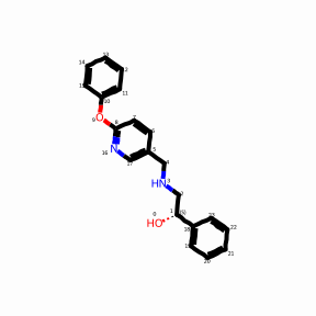 O[C@H](CNCc1ccc(Oc2ccccc2)nc1)c1ccccc1